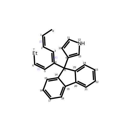 C\C=C/C=C(\C=C/CC)C1(c2cc[nH]c2)c2ccccc2-c2ccccc21